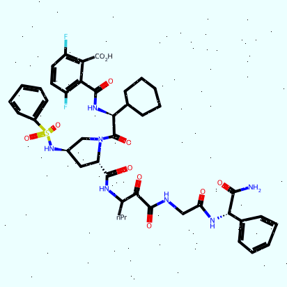 CCCC(NC(=O)[C@@H]1C[C@@H](NS(=O)(=O)c2ccccc2)CN1C(=O)[C@@H](NC(=O)c1c(F)ccc(F)c1C(=O)O)C1CCCCC1)C(=O)C(=O)NCC(=O)N[C@H](C(N)=O)c1ccccc1